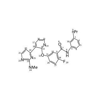 CCCc1cccc(NC(=O)c2cc(Oc3ncccc3-c3ccnc(NC)n3)ccc2F)c1